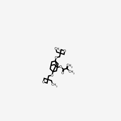 C=C(C)C(=O)OC12CC3CC(OCC4(CC)COC4)(CC(OCC4(CC)COC4)(C3)C1)C2